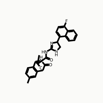 Cc1ccc2c(c1)C1CC(C)(C(=O)NC3=NC(c4ccc(F)c5ccccc45)CN3)C2NC1=O